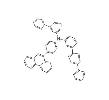 c1ccc(-c2ccc(-c3cccc(N(c4ccc(-c5cc6ccccc6c6ccccc56)cc4)c4cccc(-c5ccccc5)c4)c3)cc2)cc1